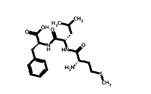 CSCC[C@H](N)C(=O)N[C@@H](CC(C)C)C(=O)N[C@@H](Cc1ccccc1)C(=O)O